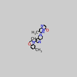 Cc1ccc2c(c1)N(c1cnc3c(c1)CN(c1nn4c(=O)ccnc4cc1C)CC3)C(C)CO2